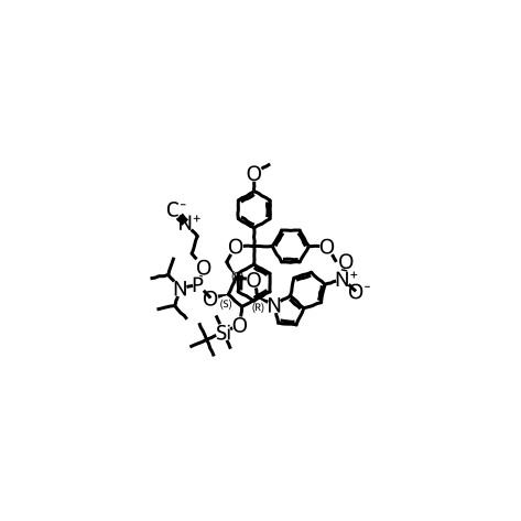 [C-]#[N+]CCOP(O[C@@H]1C(O[Si](C)(C)C(C)(C)C)[C@H](n2ccc3cc([N+](=O)[O-])ccc32)O[C@@H]1COC(c1ccccc1)(c1ccc(OC)cc1)c1ccc(OC)cc1)N(C(C)C)C(C)C